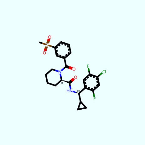 CS(=O)(=O)c1cccc(C(=O)N2CCCC[C@@H]2C(=O)N[C@@H](c2cc(F)c(Cl)cc2F)C2CC2)c1